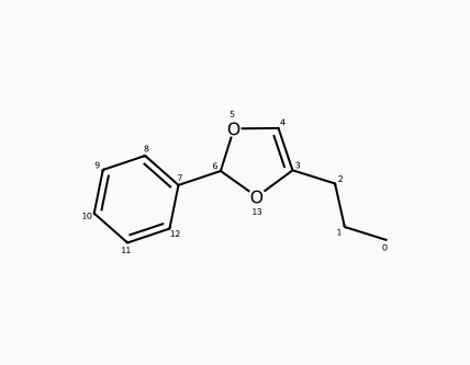 CCCC1=COC(c2ccccc2)O1